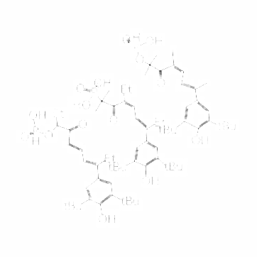 CC(=CC=C(C)c1cc(C(C)(C)C)c(O)c(C(C)(C)C)c1)C(=O)C(C)(C)O[PH](=O)O.CCC(=CC=C(CC)c1cc(C(C)(C)C)c(O)c(C(C)(C)C)c1)C(=O)C(C)(C)P(=O)(O)O.CCC(=CC=CC(=O)C(CC)O[PH](=O)O)c1cc(C(C)(C)C)c(O)c(C(C)(C)C)c1